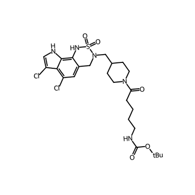 CC(C)(C)OC(=O)NCCCCC(=O)N1CCC(CN2Cc3cc(Cl)c4c(Cl)c[nH]c4c3NS2(=O)=O)CC1